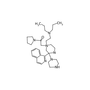 CCCN(CCC)CC[N+]1(CC(=O)N2CCCC2)CC[N]C(c2nccc3ccccc23)(N2CCNCC2)C1